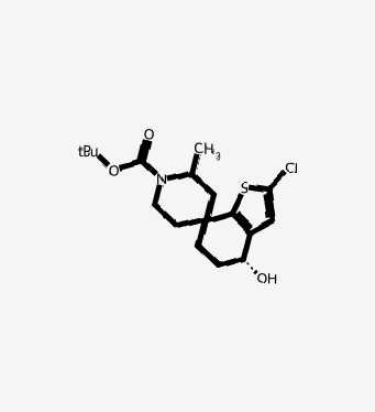 CC1CC2(CC[C@@H](O)c3cc(Cl)sc32)CCN1C(=O)OC(C)(C)C